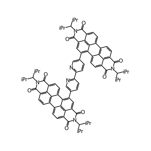 CC(C)C(C(C)C)N1C(=O)c2ccc3c4ccc5c6c(cc(-c7ccc(-c8ccc(-c9cc%10c%11c(ccc%12c%13ccc%14c%15c(ccc(c9c%11%12)c%15%13)C(=O)N(C(C(C)C)C(C)C)C%14=O)C(=O)N(C(C(C)C)C(C)C)C%10=O)cn8)nc7)c(c7ccc(c2c37)C1=O)c64)C(=O)N(C(C(C)C)C(C)C)C5=O